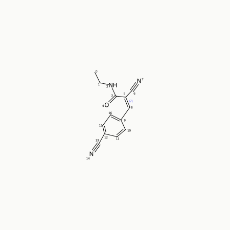 CCNC(=O)/C(C#N)=C\c1ccc(C#N)cc1